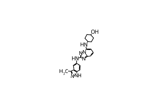 Cc1n[nH]c2ccc(Nc3nc4cccc(NC5CCC(O)CC5)n4n3)cc12